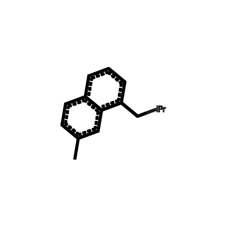 Cc1ccc2cccc(CC(C)C)c2c1